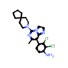 Cc1nc(N2CCC3(CCCC3)CC2)n2ccnc2c1-c1ccc(N)c(Cl)c1Cl